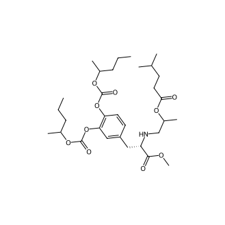 CCCC(C)OC(=O)Oc1ccc(C[C@H](NCC(C)OC(=O)CCC(C)C)C(=O)OC)cc1OC(=O)OC(C)CCC